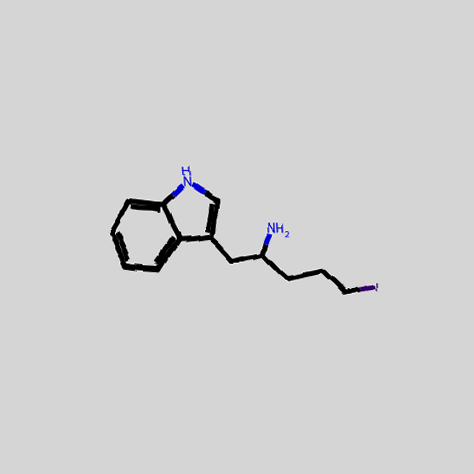 NC(CCCI)Cc1c[nH]c2ccccc12